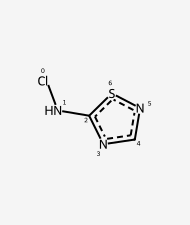 ClNc1ncns1